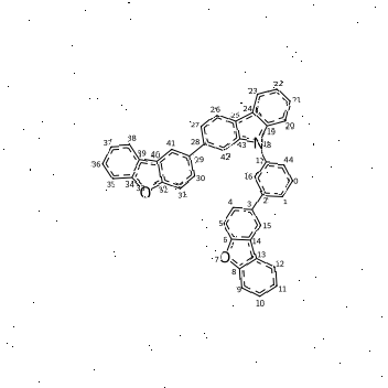 c1cc(-c2ccc3oc4ccccc4c3c2)cc(-n2c3ccccc3c3ccc(-c4ccc5oc6ccccc6c5c4)cc32)c1